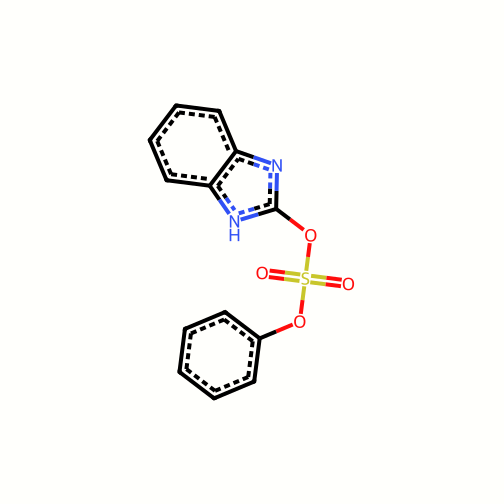 O=S(=O)(Oc1ccccc1)Oc1nc2ccccc2[nH]1